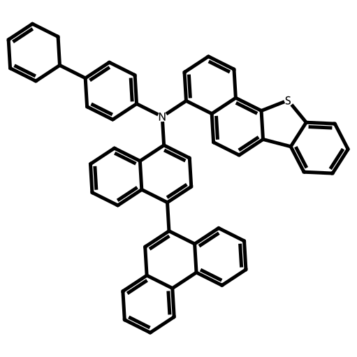 C1=CCC(c2ccc(N(c3ccc(-c4cc5ccccc5c5ccccc45)c4ccccc34)c3cccc4c3ccc3c5ccccc5sc43)cc2)C=C1